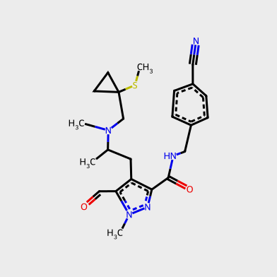 CSC1(CN(C)C(C)Cc2c(C(=O)NCc3ccc(C#N)cc3)nn(C)c2C=O)CC1